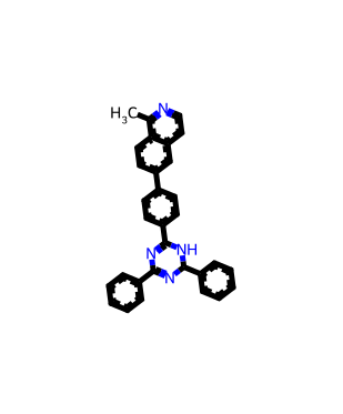 Cc1nccc2cc(-c3ccc(C4=NC(c5ccccc5)=NC(c5ccccc5)N4)cc3)ccc12